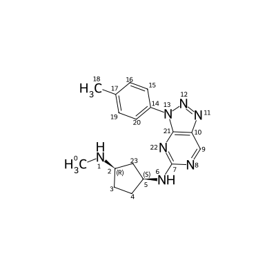 CN[C@@H]1CC[C@H](Nc2ncc3nnn(-c4ccc(C)cc4)c3n2)C1